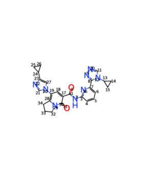 O=C(Nc1cccc(-c2nncn2C2CC2)n1)c1cc(-n2cnc(C3CC3)c2)c2n(c1=O)CCC2